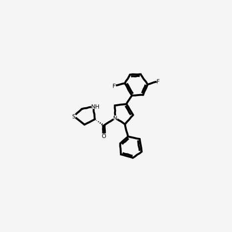 O=C([C@@H]1CSCN1)N1CC(c2cc(F)ccc2F)=CC1c1ccccc1